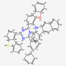 c1ccc(-c2cccc(-c3nc(-c4ccc5c(oc6ccccc65)c4-n4c5ccccc5c5cc6ccccc6cc54)nc(-c4cccc5sc6ccccc6c45)n3)c2)cc1